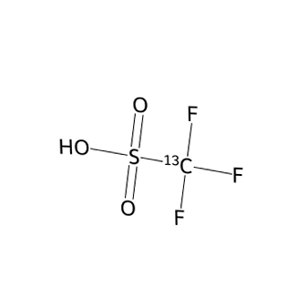 O=S(=O)(O)[13C](F)(F)F